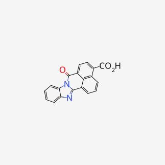 O=C(O)c1ccc2c(=O)n3c4ccccc4nc3c3cccc1c23